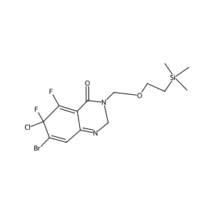 C[Si](C)(C)CCOCN1CN=C2C=C(Br)C(F)(Cl)C(F)=C2C1=O